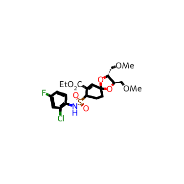 CCOC(=O)C1=CC2(CCC1S(=O)(=O)Nc1ccc(F)cc1Cl)O[C@H](COC)[C@@H](COC)O2